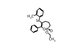 CCOP1(=O)CCCC([Se]c2ccccc2C)=C(c2ccccc2)O1